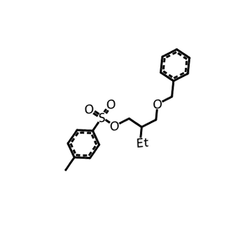 CCC(COCc1ccccc1)COS(=O)(=O)c1ccc(C)cc1